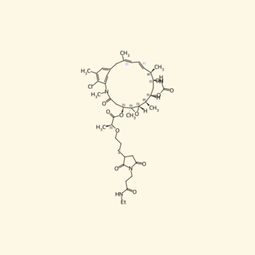 CCNC(=O)CCN1C(=O)CC(SCCO[C@@H](C)C(=O)O[C@H]2CC(=O)N(C)c3cc(cc(C)c3Cl)C/C(C)=C/C=C/[C@@H](C)[C@@]3(O)C[C@H](OC(=O)N3)[C@@H](C)[C@@H]3O[C@@]23C)C1=O